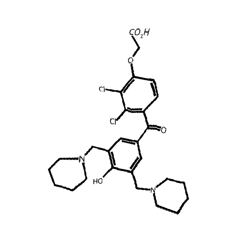 O=C(O)COc1ccc(C(=O)c2cc(CN3CCCCC3)c(O)c(CN3CCCCC3)c2)c(Cl)c1Cl